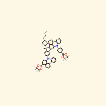 CCCCc1ccc(C2(C)c3ccc(N(c4ccc(B5OC(C)(C)C(C)(C)O5)cc4)c4ccccc4-c4ccccc4)cc3-c3cc(N(c4ccc(B5OC(C)(C)C(C)(C)O5)cc4)c4ccccc4-c4ccccc4)ccc32)cc1